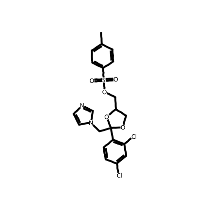 Cc1ccc(S(=O)(=O)OCC2COC(Cn3ccnc3)(c3ccc(Cl)cc3Cl)O2)cc1